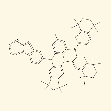 Cc1cc2c3c(c1)N(c1ccc4c(c1)oc1ccccc14)c1cc4c(cc1B3c1cc3c(cc1N2c1ccc2c(c1)C(C)(C)CCC2(C)C)C(C)(C)CCC3(C)C)C(C)(C)CC4(C)C